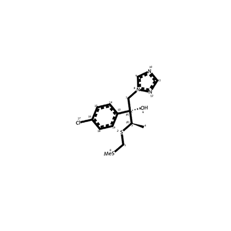 CSCS[C@H](C)[C@](O)(Cn1cncn1)c1ccc(Cl)cc1